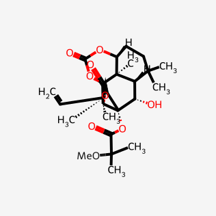 C=C[C@@]1(C)CC(=O)[C@@]23OC(=O)O[C@@H]4CCC(C)(C)[C@H]([C@H](O)[C@H](OC(=O)C(C)(C)OC)[C@@]2(C)O1)[C@]43C